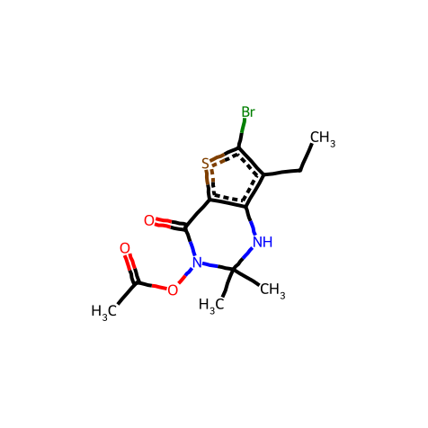 CCc1c(Br)sc2c1NC(C)(C)N(OC(C)=O)C2=O